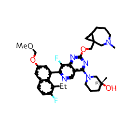 CCc1c(F)ccc2cc(OCOC)cc(-c3ncc4c(N5CCC[C@@](C)(O)C5)nc(OCC56CC5CCCN(C)C6)nc4c3F)c12